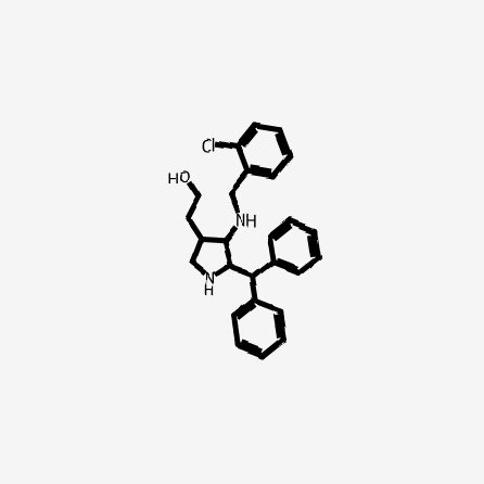 OCCC1CNC(C(c2ccccc2)c2ccccc2)C1NCc1ccccc1Cl